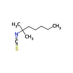 CCCCCC(C)(C)N=C=S